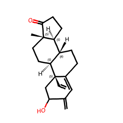 C=C[C@]12CC(O)C(=C)C=C1CC[C@@H]1[C@@H]2CC[C@]2(C)C(=O)CC[C@@H]12